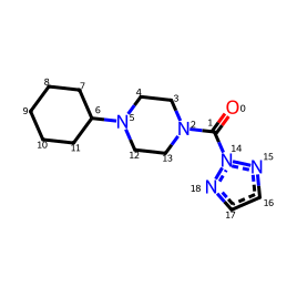 O=C(N1CCN(C2CCCCC2)CC1)n1nccn1